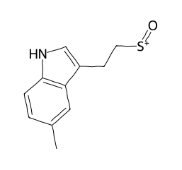 Cc1ccc2[nH]cc(CC[S+]=O)c2c1